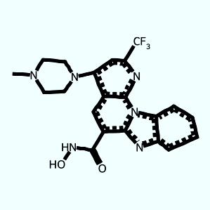 CN1CCN(c2cc(C(F)(F)F)nc3c2cc(C(=O)NO)c2nc4ccccc4n23)CC1